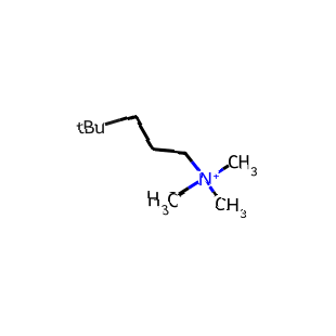 CC(C)(C)CCC[N+](C)(C)C